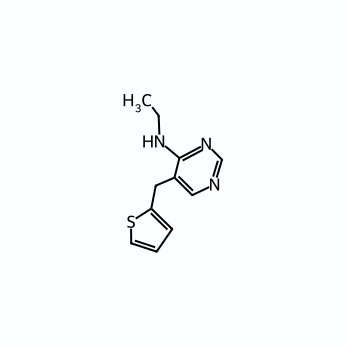 CCNc1ncncc1Cc1cccs1